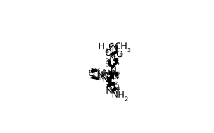 CN(C)C(=O)C(=O)N1CCC(n2cnc3c(-c4cnc(N)nc4)nc(N4CCOCC4)nc32)CC1